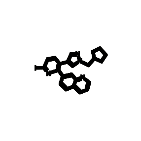 Ic1ccc(-c2cnn(CC3CCCC3)c2)c(-c2ccc3cccnc3c2)n1